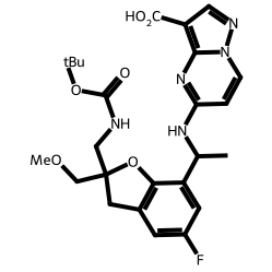 COCC1(CNC(=O)OC(C)(C)C)Cc2cc(F)cc(C(C)Nc3ccn4ncc(C(=O)O)c4n3)c2O1